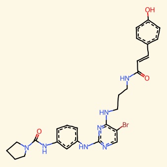 O=C(/C=C/c1ccc(O)cc1)NCCCNc1nc(Nc2cccc(NC(=O)N3CCCC3)c2)ncc1Br